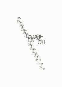 CCCCCCCCCCCCCCC(CCCCCCCCCCCC)CC(=O)O.OCCO